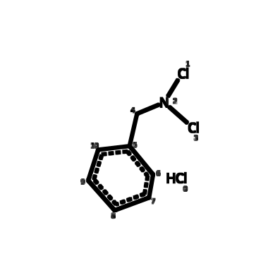 Cl.ClN(Cl)Cc1ccccc1